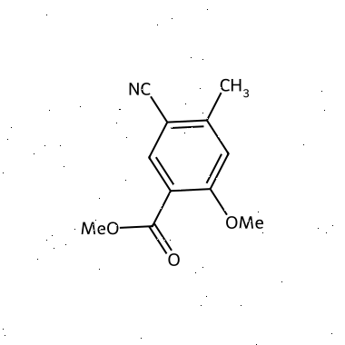 COC(=O)c1cc(C#N)c(C)cc1OC